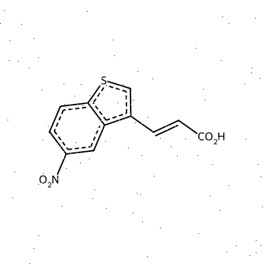 O=C(O)/C=C/c1csc2ccc([N+](=O)[O-])cc12